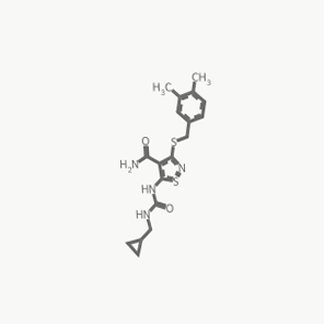 Cc1ccc(CSc2nsc(NC(=O)NCC3CC3)c2C(N)=O)cc1C